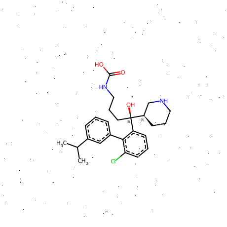 CC(C)c1cccc(-c2c(Cl)cccc2[C@](O)(CCCNC(=O)O)[C@@H]2CCCNC2)c1